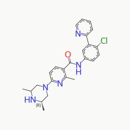 Cc1nc(N2CC(C)N[C@H](C)C2)ccc1C(=O)Nc1ccc(Cl)c(-c2ccccn2)c1